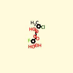 Cc1cc(Cl)cc(B(O)OCCOC(=O)c2cc(F)cc(B(O)O)c2)c1